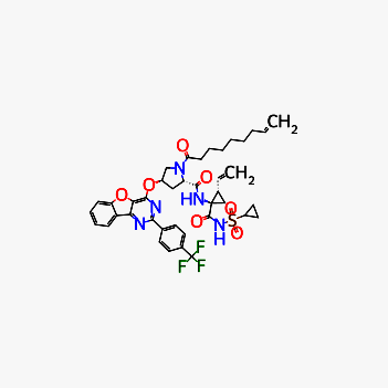 C=CCCCCCCC(=O)N1C[C@H](Oc2nc(-c3ccc(C(F)(F)F)cc3)nc3c2oc2ccccc23)C[C@H]1C(=O)N[C@]1(C(=O)NS(=O)(=O)C2CC2)C[C@H]1C=C